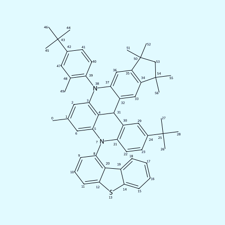 Cc1cc2c3c(c1)N(c1cccc4sc5ccccc5c14)c1ccc(C(C)(C)C)cc1C3c1cc3c(cc1N2c1ccc(C(C)(C)C)cc1C)C(C)(C)CC3(C)C